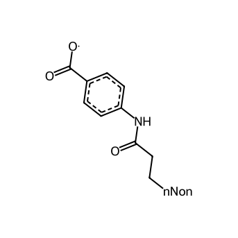 CCCCCCCCCCCC(=O)Nc1ccc(C([O])=O)cc1